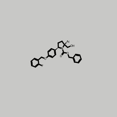 CC(=O)[C@]1(CO)CC[C@H](c2ccc(OCc3ccccc3F)cc2)N1C(=O)OCc1ccccc1